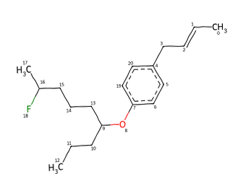 CC=CCc1ccc(OC(CCC)CCCC(C)F)cc1